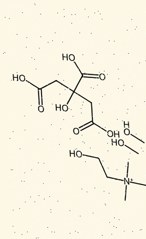 CO.CO.C[N+](C)(C)CCO.O=C(O)CC(O)(CC(=O)O)C(=O)O